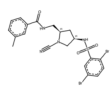 Cc1cccc(C(=O)NC[C@H]2C[C@@H](NS(=O)(=O)c3cc(Br)ccc3Br)CN2C#N)c1